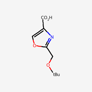 CC(C)(C)OCc1nc(C(=O)O)co1